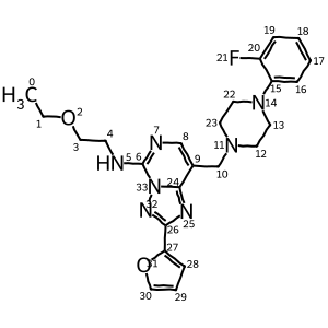 CCOCCNc1ncc(CN2CCN(c3ccccc3F)CC2)c2nc(-c3ccco3)nn12